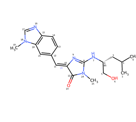 CC(C)C[C@H](CO)NC1=N/C(=C\c2ccc3ncn(C)c3c2)C(=O)N1C